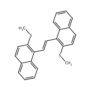 CSc1ccc2ccccc2c1/C=C/c1c(SC)ccc2ccccc12